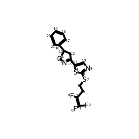 FC(F)=C(F)CCSc1ncc(C2=NOC(c3ccccc3)C2)s1